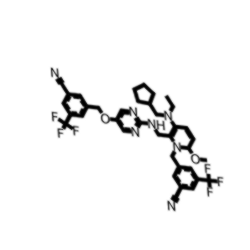 CCN(CC1CCCC1)C1=C(CNc2ncc(OCc3cc(C#N)cc(C(F)(F)F)c3)cn2)N(Cc2cc(C#N)cc(C(F)(F)F)c2)C(OC)C=C1